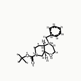 CC(C)(C)OC(=O)N1CC[C@H]2[C@@H](C1)OCCN2Cc1ccccc1